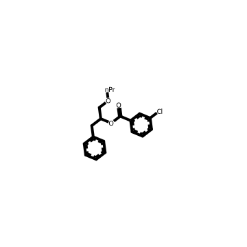 CCCOCC(Cc1ccccc1)OC(=O)c1cccc(Cl)c1